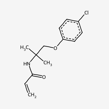 C=CC(=O)NC(C)(C)COc1ccc(Cl)cc1